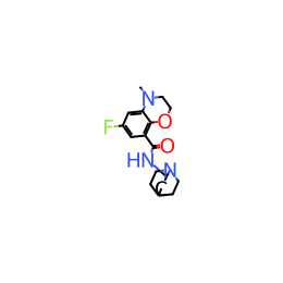 CN1CCOc2c(C(=O)NC3CC4CCN3CC4)cc(F)cc21